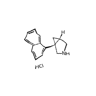 Cl.c1ccc2c([C@]34CNC[C@H]3C4)cccc2c1